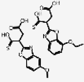 CCOc1cccc2nc(C(CC(=O)O)C(O)=S)oc12.COc1ccc2oc(C(CC(=O)O)C(O)=S)nc2c1